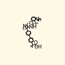 Cc1noc(-c2ccc(-c3ccc(C4(C(=O)O)CC4)cc3)cc2)c1NC(=O)OC(C)c1cccc[c]1[Sn]([CH3])([CH3])[CH3]